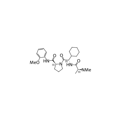 CN[C@@H](C)C(=O)N[C@H](C(=O)N1CCC[C@H]1C(=O)Nc1ccccc1OC)C1CCCCC1